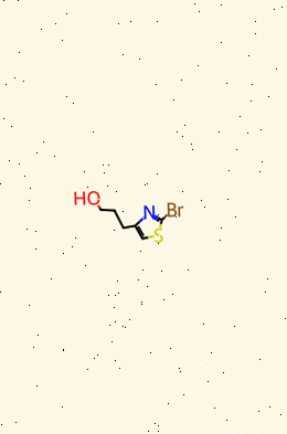 OCCCc1csc(Br)n1